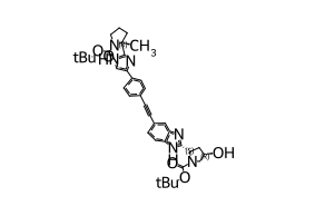 CC(C)(C)OC(=O)N1C[C@H](O)C[C@H]1c1nc2cc(C#Cc3ccc(-c4c[nH]c([C@@]5(C)CCCN5C(=O)OC(C)(C)C)n4)cc3)ccc2[nH]1